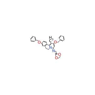 Cc1c(OCc2ccccc2)cc(=NC[C@@H]2COCCO2)n2c1-c1ccc(OCc3ccccc3)cc1CC2